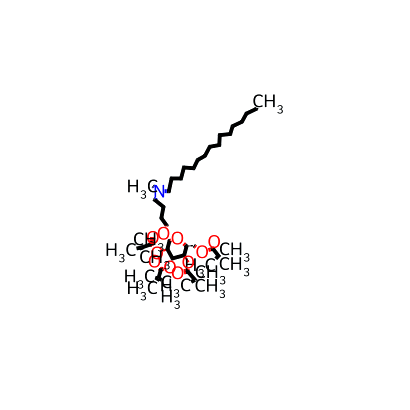 CCCCCCCCCCCCCCCCN(C)CCCCO[C@@H]1O[C@H](COC(=O)C(C)(C)C)[C@@H](OC(=O)C(C)(C)C)[C@H](OC(=O)C(C)(C)C)[C@H]1OC(=O)C(C)(C)C